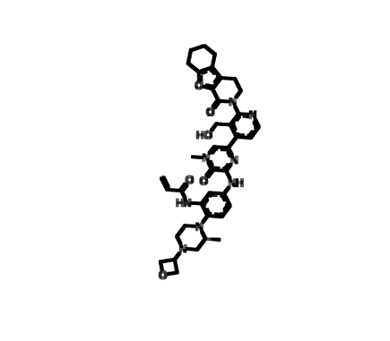 C=CC(=O)Nc1cc(Nc2nc(-c3ccnc(N4CCc5c(oc6c5CCCC6)C4=O)c3CO)cn(C)c2=O)ccc1N1CCN(C2COC2)C[C@@H]1C